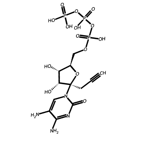 C#CC[C@@]1(n2cc(N)c(N)nc2=O)O[C@H](COP(=O)(O)OP(=O)(O)OP(=O)(O)O)[C@@H](O)[C@H]1O